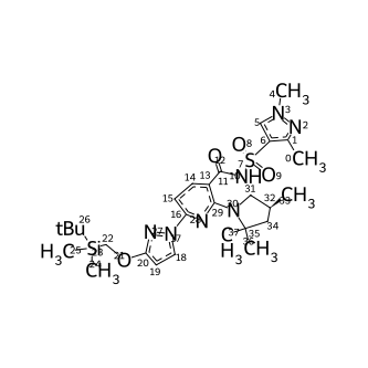 Cc1nn(C)cc1S(=O)(=O)NC(=O)c1ccc(-n2ccc(OC[Si](C)(C)C(C)(C)C)n2)nc1N1C[C@@H](C)CC1(C)C